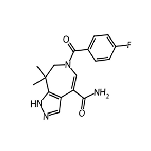 CC1(C)CN(C(=O)c2ccc(F)cc2)C=C(C(N)=O)c2cn[nH]c21